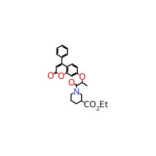 CCOC(=O)[C@H]1CCCN(C(=O)C(C)Oc2ccc3c(-c4ccccc4)cc(=O)oc3c2)C1